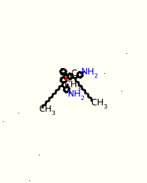 CCCCCCCCCCCCC(c1ccc(C2(c3ccc(C(CCCCCCCCCCCC)c4ccc(N)cc4C)cc3)CCCCC2)cc1)c1ccc(N)cc1C